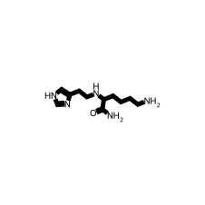 NCCCCC(NCCc1c[nH]cn1)C(N)=O